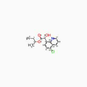 CC(C)CC(C)OC(=O)C(O)c1ccc(Cl)c2cccnc12